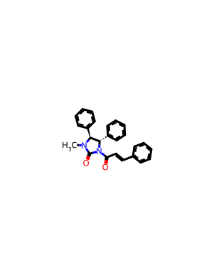 CN1C(=O)N(C(=O)C=Cc2ccccc2)[C@@H](c2ccccc2)[C@@H]1c1ccccc1